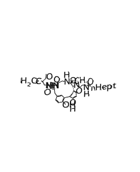 C=C=C(CNC(=O)C1Cc2ccc(O)c(c2)-c2cc(ccc2O)C(N(C)C(=O)CNC(=O)CCCCCCC)C(=O)NCC(=O)N1)C1CO1